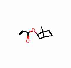 C=CC(=O)OC1CC2CCC21C